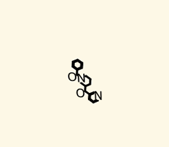 O=C(c1cccnc1)C1CCCN(C(=O)c2ccccc2)C1